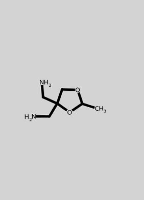 CC1OCC(CN)(CN)O1